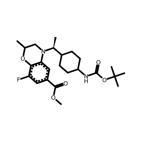 COC(=O)c1cc(F)c2c(c1)N([C@@H](C)C1CCC(NC(=O)OC(C)(C)C)CC1)CC(C)O2